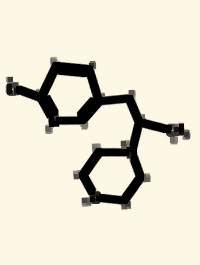 CC(Cc1ccc(Cl)nc1)N1CCOCC1